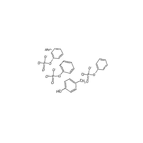 Cc1ccc(O)cc1.O=P([O-])([O-])Oc1ccccc1.O=P([O-])([O-])Oc1ccccc1.O=P([O-])([O-])Oc1ccccc1.[Mo+6]